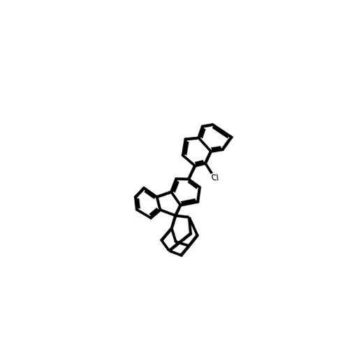 Clc1c(-c2ccc3c(c2)-c2ccccc2C32C3CC4CC(C3)CC2C4)ccc2ccccc12